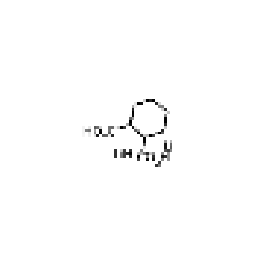 O=C(O)C1CCCCC1C(=O)O.[LiH].[LiH]